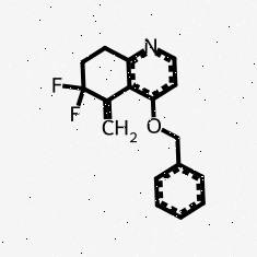 C=C1c2c(OCc3ccccc3)ccnc2CCC1(F)F